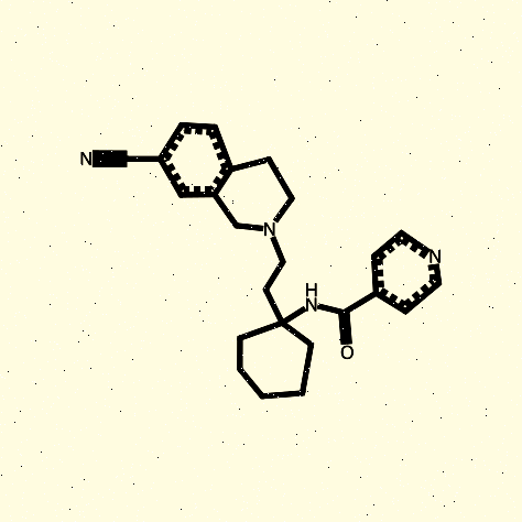 N#Cc1ccc2c(c1)CN(CCC1(NC(=O)c3ccncc3)CCCCC1)CC2